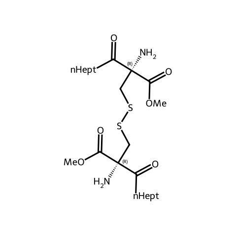 CCCCCCCC(=O)[C@](N)(CSSC[C@@](N)(C(=O)CCCCCCC)C(=O)OC)C(=O)OC